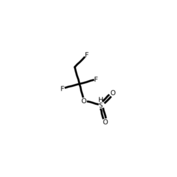 O=[SH](=O)OC(F)(F)CF